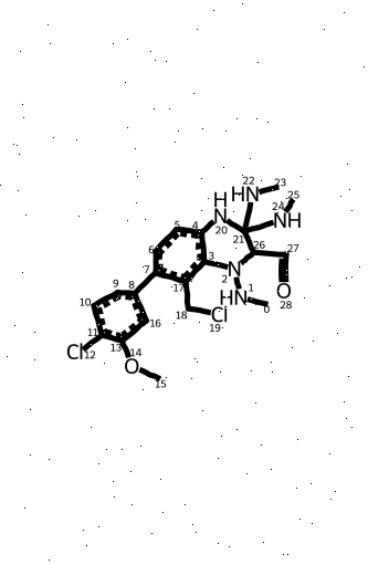 CNN1c2c(ccc(-c3ccc(Cl)c(OC)c3)c2CCl)NC(NC)(NC)C1C=O